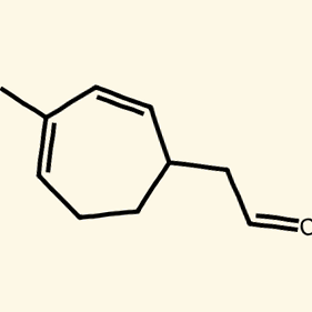 O=CCC1C=CC(I)=CCC1